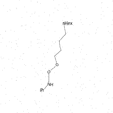 CCCCCCCCCCOONC(C)C